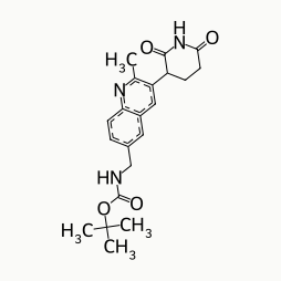 Cc1nc2ccc(CNC(=O)OC(C)(C)C)cc2cc1C1CCC(=O)NC1=O